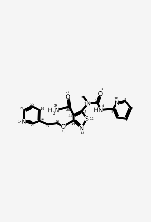 CN(C(=O)Nc1ccccn1)c1snc(OCCc2cccnc2)c1C(N)=O